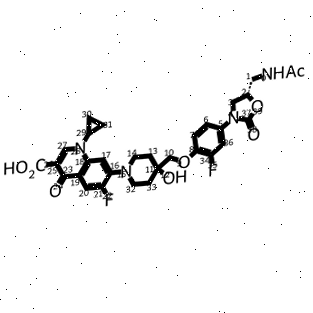 CC(=O)NC[C@H]1CN(c2ccc(OCC3(O)CCN(c4cc5c(cc4F)c(=O)c(C(=O)O)cn5C4CC4)CC3)c(F)c2)C(=O)O1